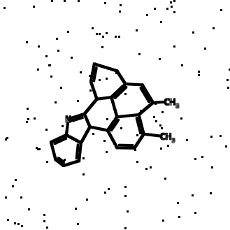 Cc1ccc2c3c4c(cc(C)c13)CC=CC4C1=Nc3ccccc3C12